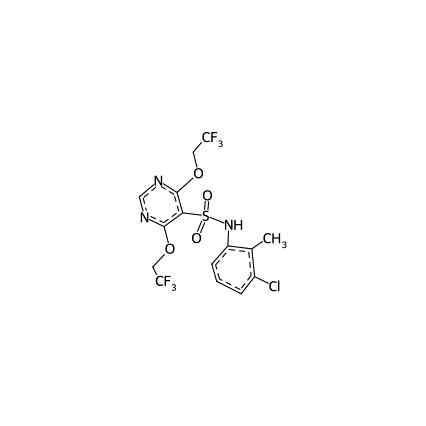 Cc1c(Cl)cccc1NS(=O)(=O)c1c(OCC(F)(F)F)ncnc1OCC(F)(F)F